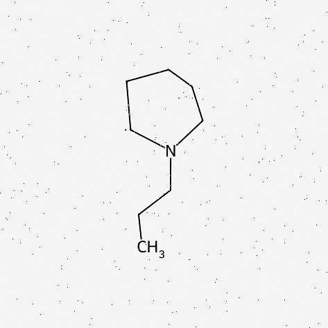 CCCN1[CH]CCCC1